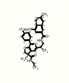 COc1cc(C(=O)NC[C@H](c2cc3c(c(-c4ccc(F)cc4)n2)OC[C@]3(C)C(=O)NCC(F)(F)F)C(F)(F)F)cc2cc(C)nnc12